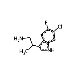 CC(CN)c1c[nH]c2cc(Cl)c(F)cc12